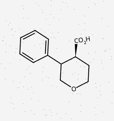 O=C(O)[C@H]1CCOCC1c1ccccc1